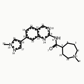 CN1CCCC(C(=O)Nc2ncc3ccc(-c4cnn(C)c4)cc3n2)CC1